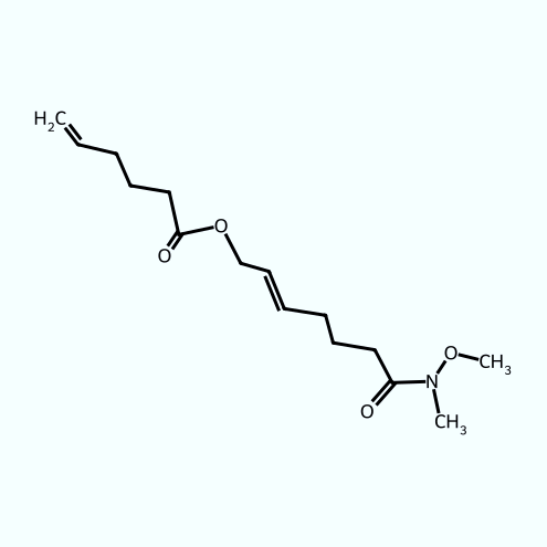 C=CCCCC(=O)OC/C=C/CCCC(=O)N(C)OC